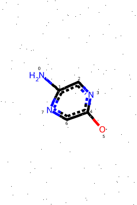 Nc1cnc([O])cn1